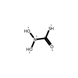 O=C(S)N(O)O